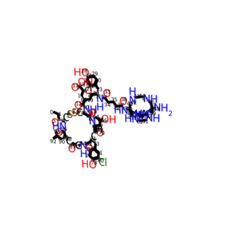 CCC(=O)[C@@H]1CSSC[C@H](NC(=O)[C@@H](CCC(=O)O)CC(=O)[C@H](Cc2ccc(O)cc2)NC(=O)CCCC(=O)N[C@]23CNCCNC[C@](N)(CNCCNC2)CNCCNC3)C(=O)N2C[C@H](O)C[C@H]2C(=O)C[C@@H](Cc2ccc(O)c(Cl)c2)C(=O)NCC(=O)C[C@@H](CC(C)C)C(=O)N1